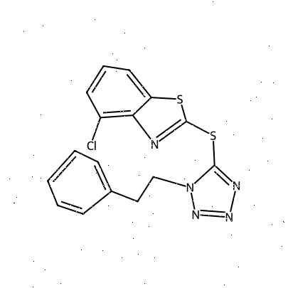 Clc1cccc2sc(Sc3nnnn3CCc3ccccc3)nc12